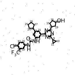 O=C(Nc1cc(-c2nc(C3CC3)nc(C3CCC(O)C3)n2)cc(C2CCCC2)c1)Nc1ccc(Cl)c(C(F)(F)F)c1